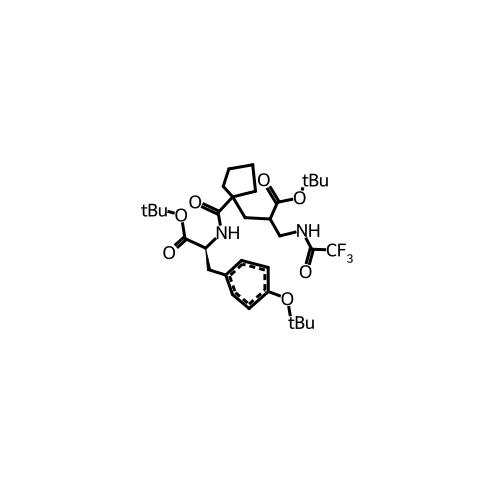 CC(C)(C)OC(=O)C(CNC(=O)C(F)(F)F)CC1(C(=O)N[C@@H](Cc2ccc(OC(C)(C)C)cc2)C(=O)OC(C)(C)C)CCCC1